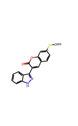 COSc1ccc2cc(-c3n[nH]c4ccccc34)c(=O)oc2c1